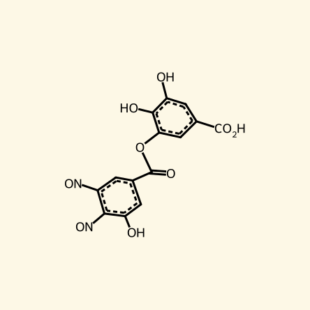 O=Nc1cc(C(=O)Oc2cc(C(=O)O)cc(O)c2O)cc(O)c1N=O